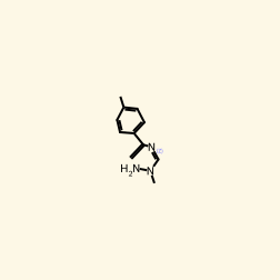 C=C(/N=C\N(C)N)c1ccc(C)cc1